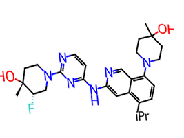 CC(C)c1ccc(N2CCC(C)(O)CC2)c2cnc(Nc3ccnc(N4CC[C@@](C)(O)[C@@H](F)C4)n3)cc12